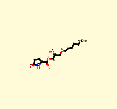 CCCCCCCCCCCCCCCOCC(O)COC(=O)C1CCC(=O)N1